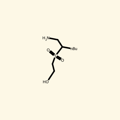 CCCCC(CN)S(=O)(=O)CCO